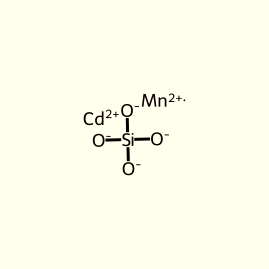 [Cd+2].[Mn+2].[O-][Si]([O-])([O-])[O-]